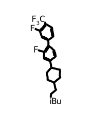 CCC(C)CCC1CCC(c2ccc(-c3ccc(C(F)(F)F)c(F)c3)c(F)c2)CC1